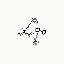 C=C(C=CC(=O)O)C(=O)OCCCCCC(C)C.C=CC(=O)OCCOc1ccccc1-c1ccccc1